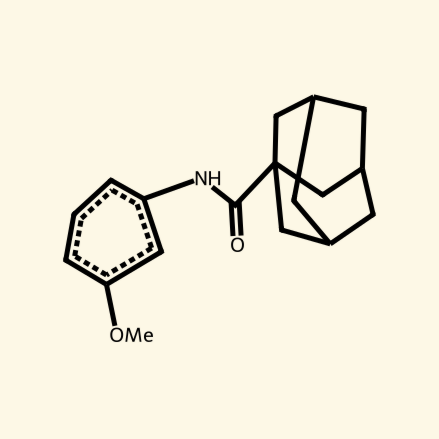 COc1cccc(NC(=O)C23CC4CC(CC(C4)C2)C3)c1